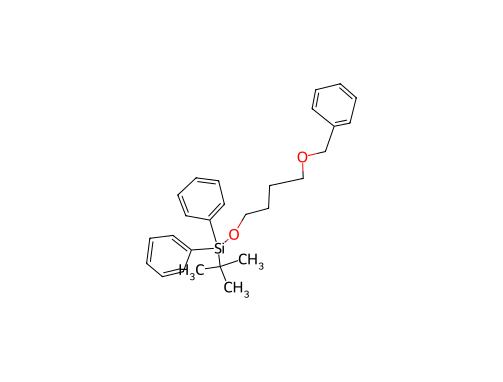 CC(C)(C)[Si](OCCCCOCc1ccccc1)(c1ccccc1)c1ccccc1